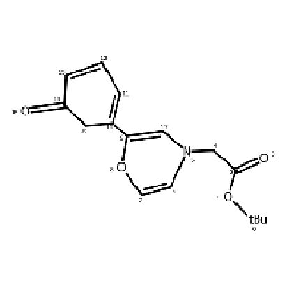 CC(C)(C)OC(=O)CN1C=COC(C2=CC=CC(=O)C2)=C1